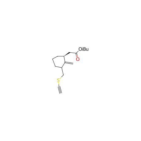 C#CSCC1CCC[C@@H](CC(=O)OCC(C)C)C1=C